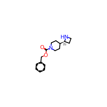 O=C(OCc1ccccc1)N1CCC([C@@H]2CCN2)CC1